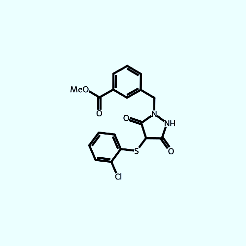 COC(=O)c1cccc(CN2NC(=O)C(Sc3ccccc3Cl)C2=O)c1